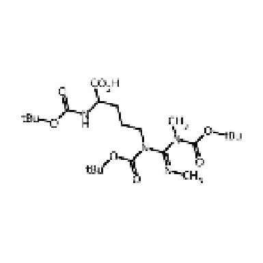 C/N=C(\N(C)C(=O)OC(C)(C)C)N(CCCC(NC(=O)OC(C)(C)C)C(=O)O)C(=O)OC(C)(C)C